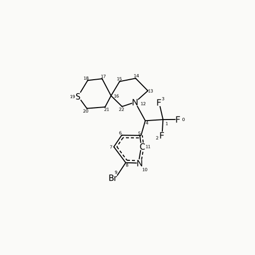 FC(F)(F)C(c1ccc(Br)nc1)N1CCCC2(CCSCC2)C1